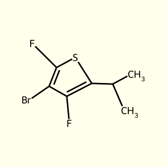 CC(C)c1sc(F)c(Br)c1F